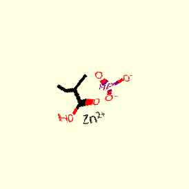 CC(C)C(=O)O.O=[PH]([O-])[O-].[Zn+2]